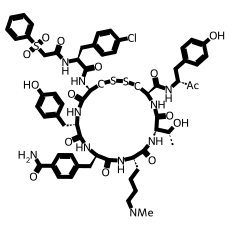 CNCCCC[C@@H]1NC(=O)[C@@H](Cc2ccc(C(N)=O)cc2)NC(=O)[C@H](Cc2ccc(O)cc2)NC(=O)[C@H](NC(=O)[C@H](Cc2ccc(Cl)cc2)NC(=O)CS(=O)(=O)c2ccccc2)CSSC[C@@H](C(=O)N[C@H](Cc2ccc(O)cc2)C(C)=O)NC(=O)[C@H]([C@@H](C)O)NC1=O